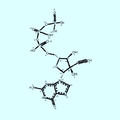 C#C[C@@]1(O)[C@H](O)[C@@H](COP(=O)(O)OP(=O)(O)OP(=O)(O)O)O[C@H]1n1cnc2c(=O)[nH]c(N)nc21